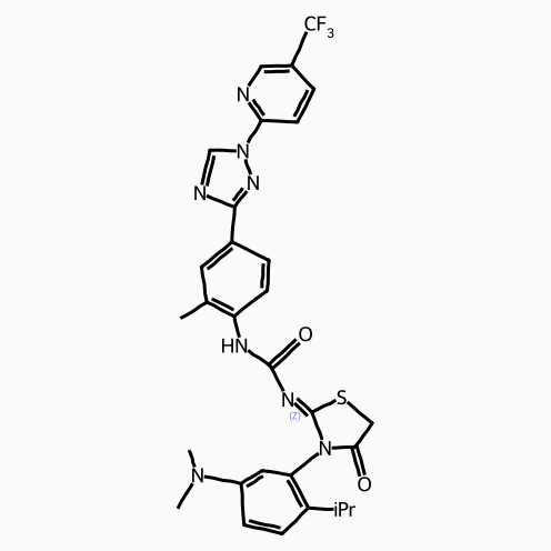 Cc1cc(-c2ncn(-c3ccc(C(F)(F)F)cn3)n2)ccc1NC(=O)/N=C1\SCC(=O)N1c1cc(N(C)C)ccc1C(C)C